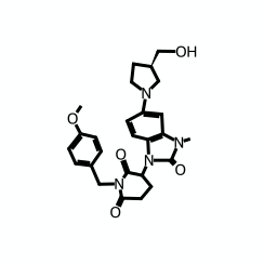 COc1ccc(CN2C(=O)CCC(n3c(=O)n(C)c4cc(N5CC[C@@H](CO)C5)ccc43)C2=O)cc1